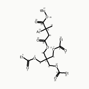 CCC(=O)OCC(COC(=O)CC)(COC(=O)CC)COC(=O)CC(C)(C(C)=O)C(=O)OC(C)(C)C